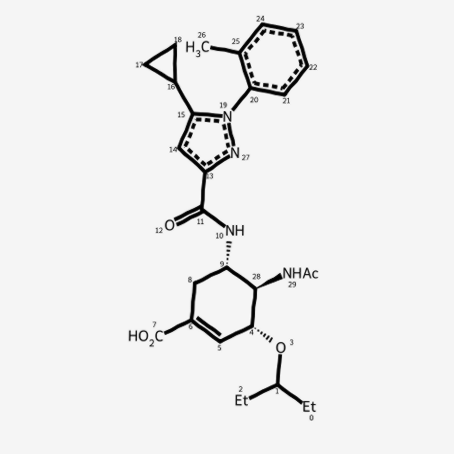 CCC(CC)O[C@@H]1C=C(C(=O)O)C[C@H](NC(=O)c2cc(C3CC3)n(-c3ccccc3C)n2)[C@H]1NC(C)=O